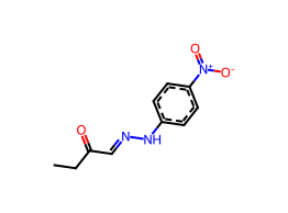 CCC(=O)C=NNc1ccc([N+](=O)[O-])cc1